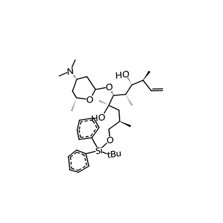 C=C[C@H](C)[C@@H](O)[C@H](C)[C@@H](OC1C[C@@H](N(C)C)C[C@@H](C)O1)[C@](C)(O)C[C@@H](C)CO[Si](c1ccccc1)(c1ccccc1)C(C)(C)C